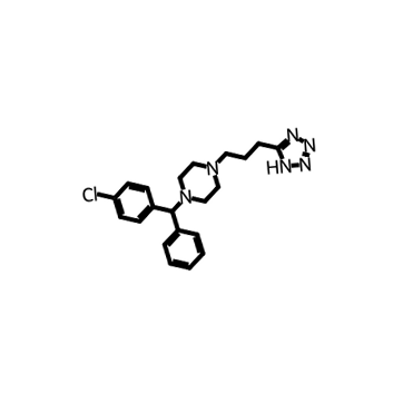 Clc1ccc(C(c2ccccc2)N2CCN(CCCc3nnn[nH]3)CC2)cc1